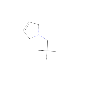 CC(C)(C)CN1CC=CC1